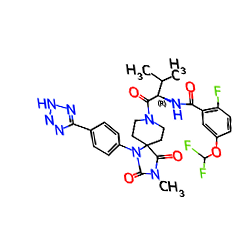 CC(C)[C@@H](NC(=O)c1cc(OC(F)F)ccc1F)C(=O)N1CCC2(CC1)C(=O)N(C)C(=O)N2c1ccc(-c2nn[nH]n2)cc1